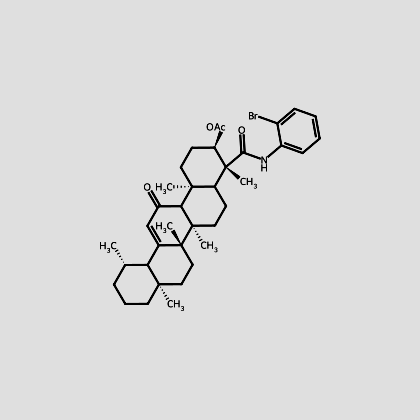 CC(=O)O[C@@H]1CC[C@@]2(C)C(CC[C@]3(C)C2C(=O)C=C2C4[C@@H](C)CCC[C@]4(C)CC[C@]23C)[C@@]1(C)C(=O)Nc1ccccc1Br